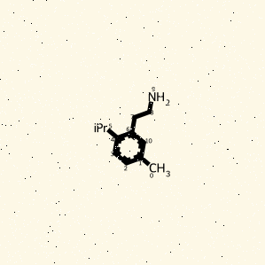 Cc1ccc(C(C)C)c(CCN)c1